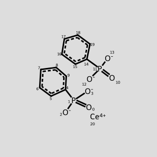 O=P([O-])([O-])c1ccccc1.O=P([O-])([O-])c1ccccc1.[Ce+4]